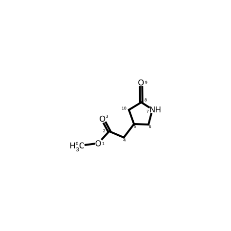 COC(=O)CC1CNC(=O)C1